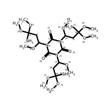 COC(CC([SiH3])(OC)OC)n1c(=O)n(C(CC([SiH3])(OC)OC)OC)c(=O)n(C(CC([SiH3])(OC)OC)OC)c1=O